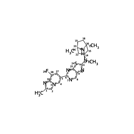 Cc1cn2cc(-c3ncc4nc(N(C)[C@@H]5C[C@]6(C)CC[C@](C)(C5)N6)sc4n3)cc(F)c2n1